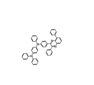 c1ccc(-c2nc3cccc(-c4ccccc4)c3nc2-c2ccc(N(c3ccccc3)c3ccc(N(c4ccccc4)c4ccccc4)cc3)cc2)cc1